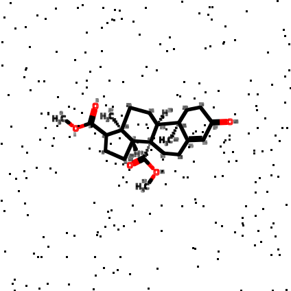 COC(=O)C1CC[C@H]2[C@]3(C(=O)OC)CCC4=CC(=O)CC[C@]4(C)[C@@H]3CC[C@]12C